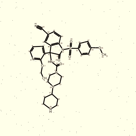 CCOc1ncccc1C1(NC(=O)N2CCN(C3CCNCC3)CC2)C(=O)N(S(=O)(=O)c2ccc(OC)cc2)c2ccc(C#N)cc21